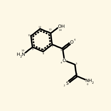 NC(=S)COC(=O)c1cc(N)ccc1O